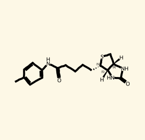 Cc1ccc(NC(=O)CCCC[C@@H]2SC[C@@H]3NC(=O)N[C@@H]32)cc1